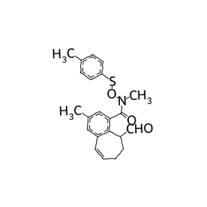 Cc1ccc(SON(C)C(=O)c2cc(C)cc3c2C(C=O)CCC=C3)cc1